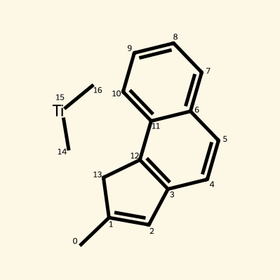 CC1=Cc2ccc3ccccc3c2C1.[CH3][Ti][CH3]